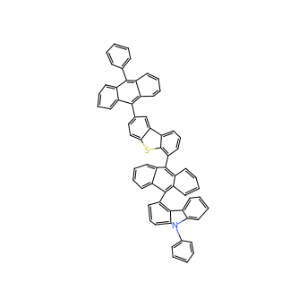 c1ccc(-c2c3ccccc3c(-c3ccc4sc5c(-c6c7ccccc7c(-c7cccc8c7c7ccccc7n8-c7ccccc7)c7ccccc67)cccc5c4c3)c3ccccc23)cc1